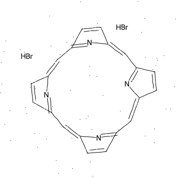 Br.Br.C1=CC2=NC1=CC1=NC(=CC3=NC(=CC4=NC(=C2)C=C4)C=C3)C=C1